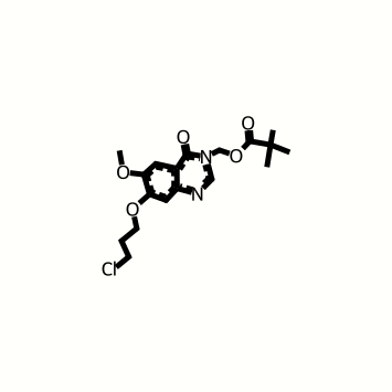 COc1cc2c(=O)n(COC(=O)C(C)(C)C)cnc2cc1OCCCCl